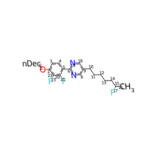 CCCCCCCCCCOc1ccc(-c2ncc(CCCCCC(C)F)cn2)c(F)c1F